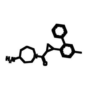 Cc1ccc(C2CC2C(=O)N2CCCC(N)CC2)c(-c2ccccc2)c1